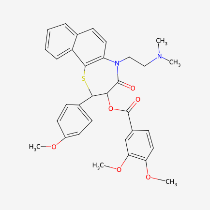 COc1ccc(C2Sc3c(ccc4ccccc34)N(CCN(C)C)C(=O)C2OC(=O)c2ccc(OC)c(OC)c2)cc1